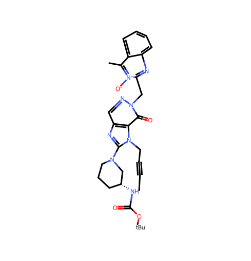 CC#CCn1c(N2CCC[C@@H](NC(=O)OC(C)(C)C)C2)nc2cnn(Cc3nc4ccccc4c(C)[n+]3[O-])c(=O)c21